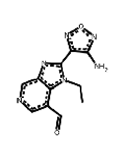 CCn1c(-c2nonc2N)nc2cncc(C=O)c21